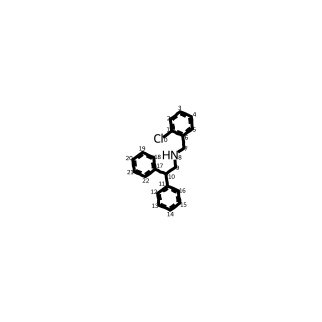 Clc1ccccc1CNCC(c1ccccc1)c1ccccc1